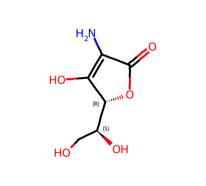 NC1=C(O)[C@@H]([C@@H](O)CO)OC1=O